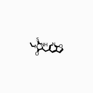 CCN1C(=O)C(Cc2cnc3occc3c2)NC1=S